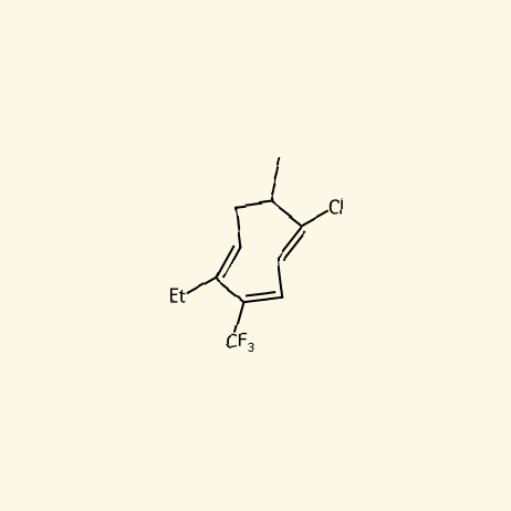 CCC1=C\CC(C)/C(Cl)=C/C=C\1C(F)(F)F